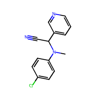 CN(c1ccc(Cl)cc1)C(C#N)c1cccnc1